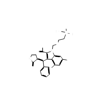 C[Si](C)(C)CCOCn1c(C(=O)O)c(C(=C2CCNC2=O)c2ccccc2)c2c(Cl)cc(Cl)cc21